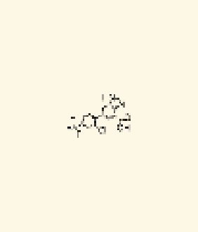 O=C(O)c1cc(-c2ccc(C(F)(F)F)cc2Cl)cc2[nH]cnc12